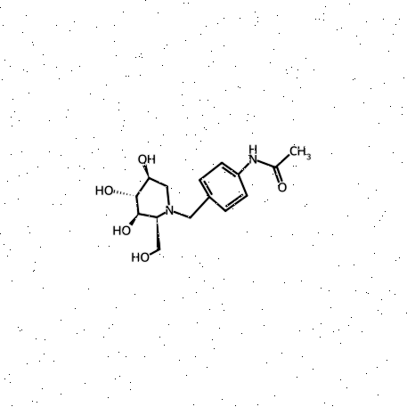 CC(=O)Nc1ccc(CN2C[C@H](O)[C@@H](O)[C@H](O)[C@@H]2CO)cc1